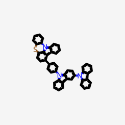 c1ccc2c(c1)Sc1ccc(-c3ccc(-n4c5ccccc5c5cc(-n6c7ccccc7c7ccccc76)ccc54)cc3)c3c4ccccc4n-2c13